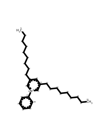 CCCCCCCCCc1cc(CCCCCCCCC)c[n+](-c2ccccc2)c1